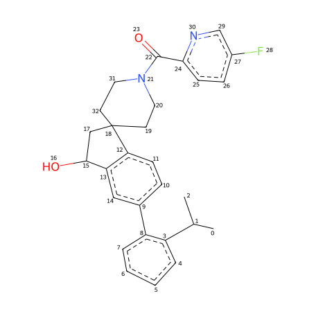 CC(C)c1ccccc1-c1ccc2c(c1)C(O)CC21CCN(C(=O)c2ccc(F)cn2)CC1